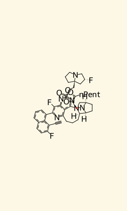 C#Cc1c(F)ccc2cccc(-c3nc4c5c(nc(OC[C@@]67CCCN6C[C@H](F)C7)nc5c3F)N3C[C@H]5CC[C@@H]([C@H]3CCC4)N5Cc3oc(=O)oc3CCCCC)c12